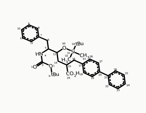 CC(C)(C)OC(=O)NC(Cc1ccccc1)C(CC(Cc1ccc(-c2ccccc2)cc1)C(=O)O)O[Si](C)(C)C(C)(C)C